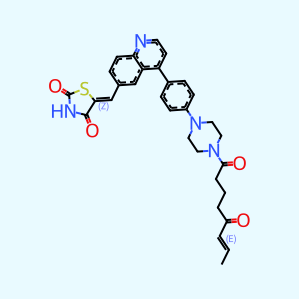 C/C=C/C(=O)CCCC(=O)N1CCN(c2ccc(-c3ccnc4ccc(/C=C5\SC(=O)NC5=O)cc34)cc2)CC1